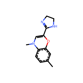 Cc1ccc2c(c1)OC(C1=NCCN1)=CN2C